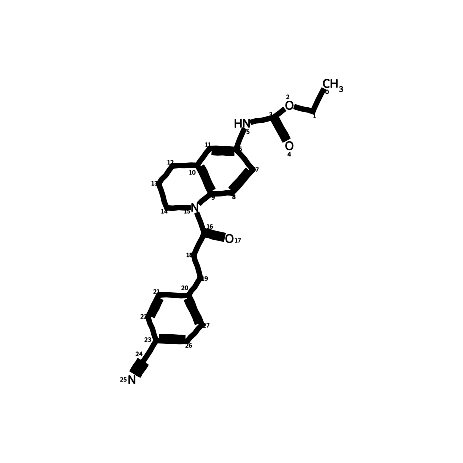 CCOC(=O)Nc1ccc2c(c1)CCCN2C(=O)CCc1ccc(C#N)cc1